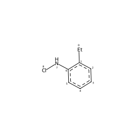 CCc1ccccc1NCl